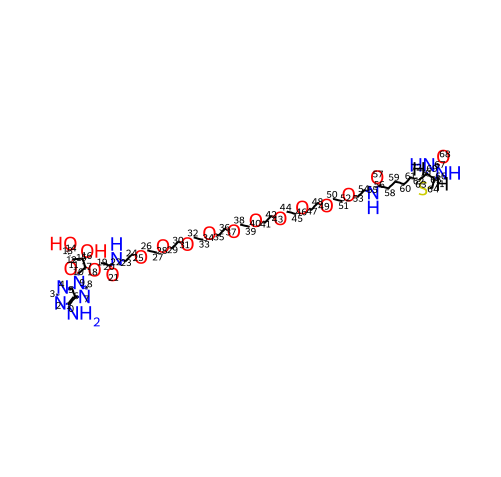 Nc1ncnc2c1ncn2C1O[C@H](CO)[C@@H](O)[C@H]1OCC(=O)NCCOCCOCCOCCOCCOCCOCCOCCOCCOCCOCCNC(=O)CCCC[C@@H]1SC[C@@H]2NC(=O)N[C@@H]21